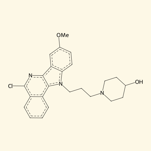 COc1ccc2c(c1)c1nc(Cl)c3ccccc3c1n2CCCN1CCC(O)CC1